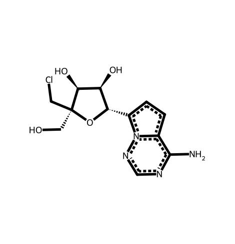 Nc1ncnn2c([C@@H]3O[C@@](CO)(CCl)[C@@H](O)[C@H]3O)ccc12